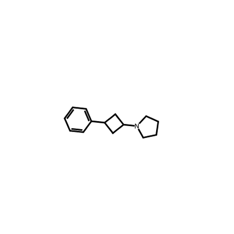 c1ccc(C2CC(N3CCCC3)C2)cc1